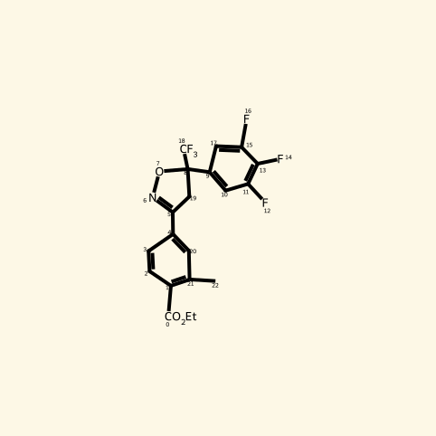 CCOC(=O)c1ccc(C2=NOC(c3cc(F)c(F)c(F)c3)(C(F)(F)F)C2)cc1C